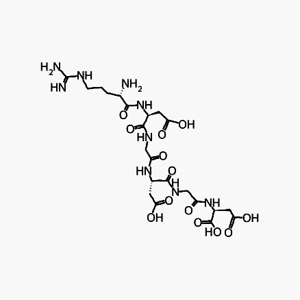 N=C(N)NCCC[C@H](N)C(=O)N[C@@H](CC(=O)O)C(=O)NCC(=O)N[C@@H](CC(=O)O)C(=O)NCC(=O)N[C@@H](CC(=O)O)C(=O)O